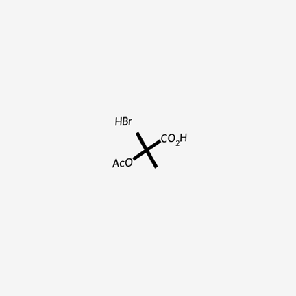 Br.CC(=O)OC(C)(C)C(=O)O